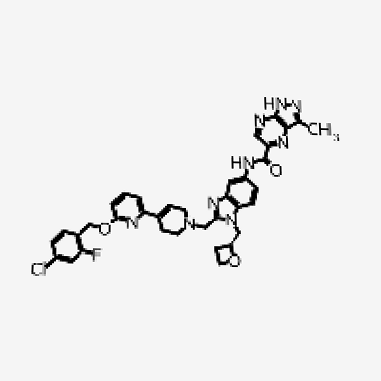 Cc1n[nH]c2ncc(C(=O)Nc3ccc4c(c3)nc(CN3CC=C(c5cccc(OCc6ccc(Cl)cc6F)n5)CC3)n4C[C@@H]3CCO3)nc12